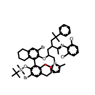 C/C(=N\c1c(Cl)cccc1Cl)C(CC(Cn1c(C)ccc1C)Oc1c(Br)cc2c(c1-c1c3c(cc(Br)c1O[Si](C)(C)C(C)(C)C)CCCC3)CCCC2)CC(C)(C)c1ccccc1